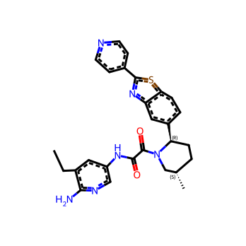 CCc1cc(NC(=O)C(=O)N2C[C@@H](C)CC[C@@H]2c2ccc3sc(-c4ccncc4)nc3c2)cnc1N